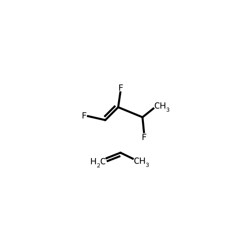 C=CC.CC(F)C(F)=CF